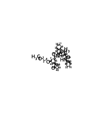 COCCCOc1cc(C(=O)N[C@@H](Cc2ccccc2)[C@H](O)C[C@@H](C)C(=O)NC2CC3CCC2C3)cc(N2CCCC2=O)c1